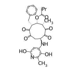 Cc1nc(O)cc(N[C@H]2CC(=O)C(=O)[C@H](Cc3ccccc3)[C@H](OC(=O)C(C)C)[C@H](C)C(=O)C2=O)c1O